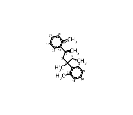 C=C(CC(C)(CC)c1ccccc1C)c1ccccc1C